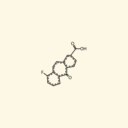 O=C(O)c1ccc2c(=O)c3cccc(F)c3ccc2c1